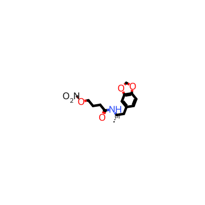 C[C@@H](Cc1ccc2c(c1)OCO2)NC(=O)CCCO[N+](=O)[O-]